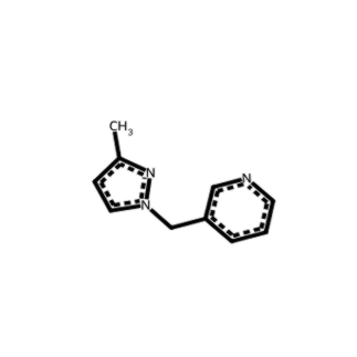 Cc1ccn(Cc2cccnc2)n1